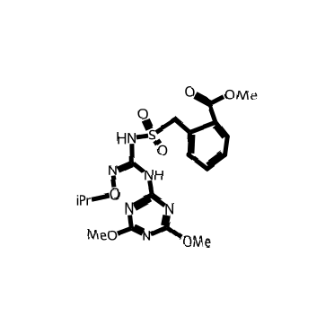 COC(=O)c1ccccc1CS(=O)(=O)NC(=NOC(C)C)Nc1nc(OC)nc(OC)n1